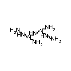 NCCNCCN(CCN)CCNCCN(CCN)CCNCCN